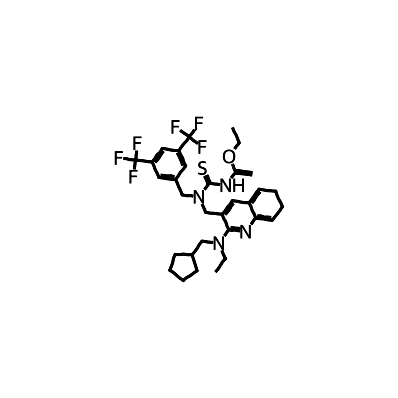 C=C(NC(=S)N(Cc1cc(C(F)(F)F)cc(C(F)(F)F)c1)Cc1cc2c(nc1N(CC)CC1CCCC1)=CCCC=2)OCC